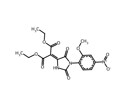 CCOC(=O)C(C(=O)OCC)=C1NC(=O)N(c2ccc([N+](=O)[O-])cc2OC)C1=O